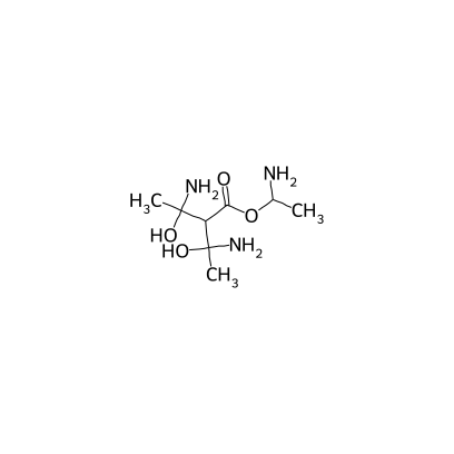 CC(N)OC(=O)C(C(C)(N)O)C(C)(N)O